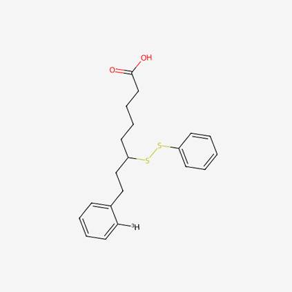 [3H]c1ccccc1CCC(CCCCC(=O)O)SSc1ccccc1